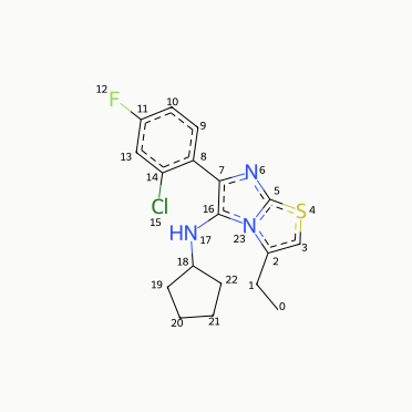 CCc1csc2nc(-c3ccc(F)cc3Cl)c(NC3CCCC3)n12